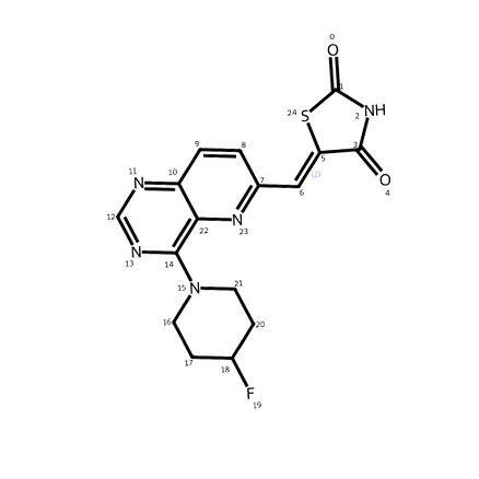 O=C1NC(=O)/C(=C/c2ccc3ncnc(N4CCC(F)CC4)c3n2)S1